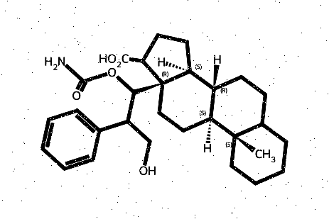 C[C@]12CCCCC1CC[C@H]1[C@@H]3CCC(C(=O)O)[C@@]3(C(OC(N)=O)C(CO)c3ccccc3)CC[C@@H]12